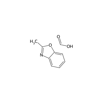 Cc1nc2ccccc2o1.O=CO